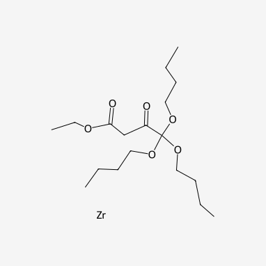 CCCCOC(OCCCC)(OCCCC)C(=O)CC(=O)OCC.[Zr]